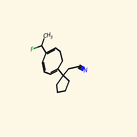 CC(F)C1=CCC/C(C2(CC#N)CCCC2)=C\C=C/1